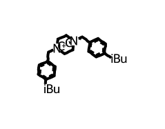 CCC(C)c1ccc(C[N+]23CC[N+](Cc4ccc(C(C)CC)cc4)(CC2)CC3)cc1